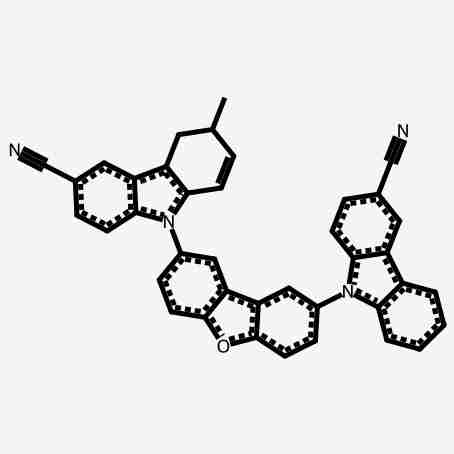 CC1C=Cc2c(c3cc(C#N)ccc3n2-c2ccc3oc4ccc(-n5c6ccccc6c6cc(C#N)ccc65)cc4c3c2)C1